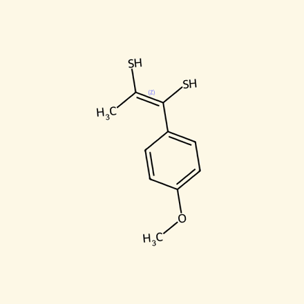 COc1ccc(/C(S)=C(\C)S)cc1